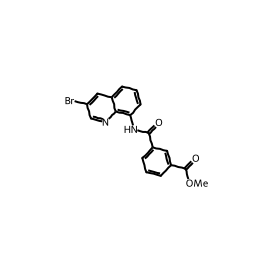 COC(=O)c1cccc(C(=O)Nc2cccc3cc(Br)cnc23)c1